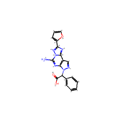 Nc1nc2c(cnn2C(C(=O)O)c2ccccc2)c2nc(-c3ccco3)nn12